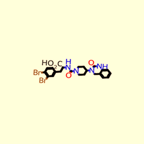 O=C(O)[C@H](Cc1ccc(Br)c(Br)c1)NC(=O)N1CCC(N2Cc3ccccc3NC2=O)CC1